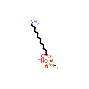 CS(=O)(=O)O.NCCCCCCCCCCC(=O)OO